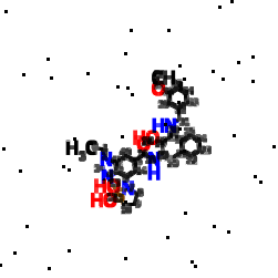 CCn1cnc2c(N3CCCS3(O)O)cc(C(=O)N[C@@H](Cc3ccccc3)[C@H](O)CNCc3cccc(OC)c3)cc21